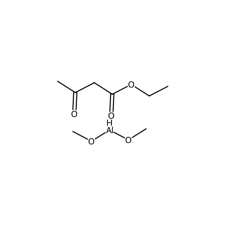 CCOC(=O)CC(C)=O.C[O][AlH][O]C